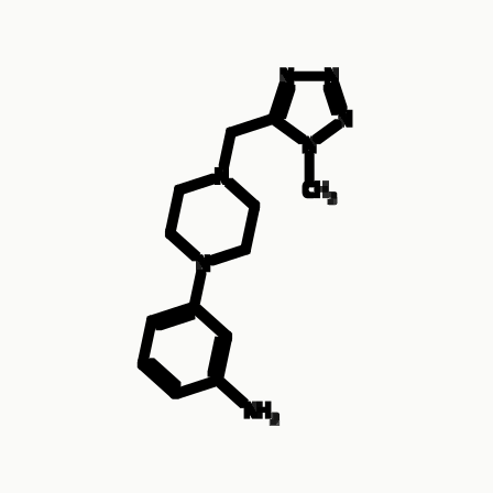 Cn1nnnc1CN1CCN(c2cccc(N)c2)CC1